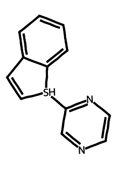 C1=C[SH](c2cnccn2)c2ccccc21